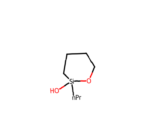 CCC[Si]1(O)CCCCO1